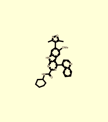 COc1cc2c(cc1-c1c(C)noc1C)[nH]c1nc(C(=O)NC3CCCCC3)nc(-c3ccnc4ccccc34)c12